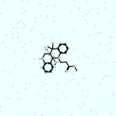 COC(=O)CCN1c2ccccc2C(C)(C)[C@@H]2COc3ccccc3[C@]21OC